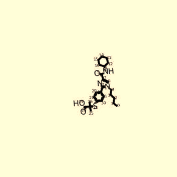 CCCCCn1cc(C(=O)NC2CCCCC2)nc1-c1ccc(SC(C)(C)C(=O)O)cc1